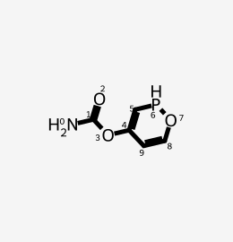 NC(=O)OC1=CPOC=C1